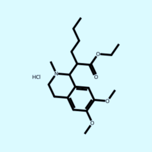 CCCCC(C(=O)OCC)C1c2cc(OC)c(OC)cc2CCN1C.Cl